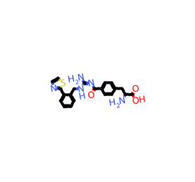 NC(=NC(=O)c1ccc(CC(N)C(=O)O)cc1)NCc1ccccc1-c1nccs1